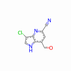 N#Cc1cc(C=O)c2[nH]cc(Cl)c2n1